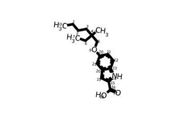 CCCCC(C)(CC)COc1ccc2[nH]c(C(=O)O)cc2c1